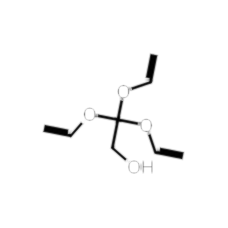 C=COC(CO)(OC=C)OC=C